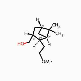 COCC[C@H]1[C@H](CO)C[C@H]2C[C@H]1C2(C)C